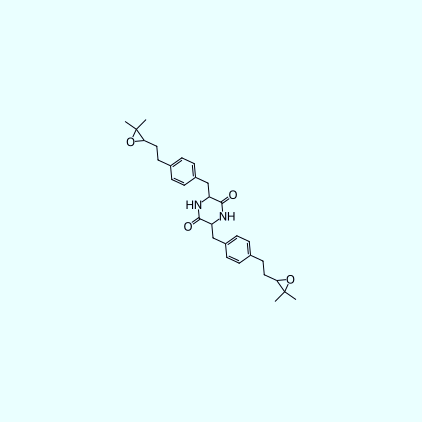 CC1(C)OC1CCc1ccc(CC2NC(=O)C(Cc3ccc(CCC4OC4(C)C)cc3)NC2=O)cc1